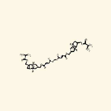 C=C(C)C(=O)OCC1CC2CC1[C@H]1CC(COC(=O)/C=C/C(=O)OCOC(=O)/C=C/C(=O)OCC3C[C@@H]4C5CC(COC(=O)C(=C)C)C(C5)[C@@H]4C3)C[C@@H]21